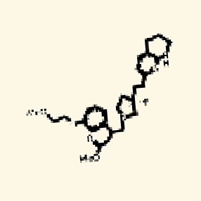 COCCOc1cccc(C(CC(=O)OC)CN2CC[C@@](F)(CCc3ccc4c(n3)NCCC4)C2)c1